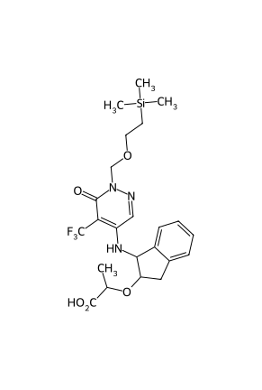 CC(OC1Cc2ccccc2C1Nc1cnn(COCC[Si](C)(C)C)c(=O)c1C(F)(F)F)C(=O)O